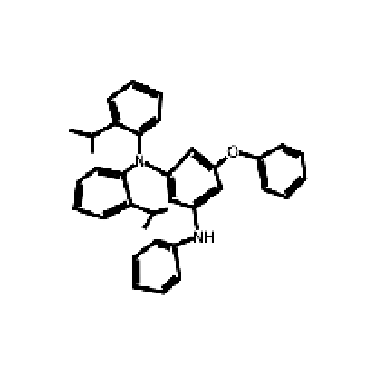 CC(C)c1ccccc1N(c1cc(Nc2ccccc2)cc(Oc2ccccc2)c1)c1ccccc1C(C)C